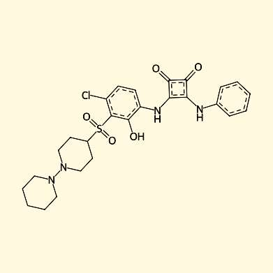 O=c1c(Nc2ccccc2)c(Nc2ccc(Cl)c(S(=O)(=O)C3CCN(N4CCCCC4)CC3)c2O)c1=O